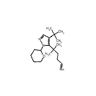 CC(C)(C)c1cnn(C2CCCCO2)c1C(C)(C)CCC=N